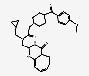 COc1ccc(C(=O)C2CCN(CC(=O)N(CC3CC3)CC3NC(=O)C4CCC=CC=C4N3)CC2)cc1